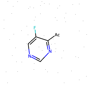 CC(=O)c1ncncc1F